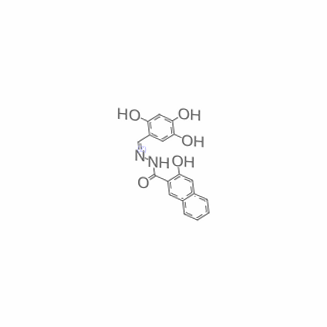 O=C(N/N=C\c1cc(O)c(O)cc1O)c1cc2ccccc2cc1O